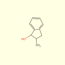 [CH2]C1Cc2ccccc2C1O